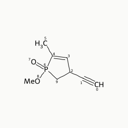 C#CC1C=C(C)P(=O)(OC)C1